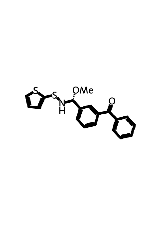 CO[C@@H](NSc1cccs1)c1cccc(C(=O)c2ccccc2)c1